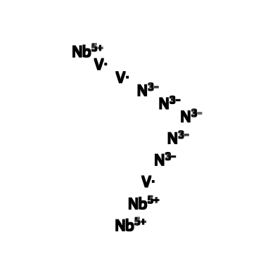 [N-3].[N-3].[N-3].[N-3].[N-3].[Nb+5].[Nb+5].[Nb+5].[V].[V].[V]